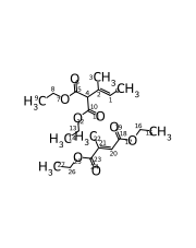 C/C=C(\C)C(C(=O)OCC)C(=O)OCC.CCOC(=O)/C=C(\C)C(=O)OCC